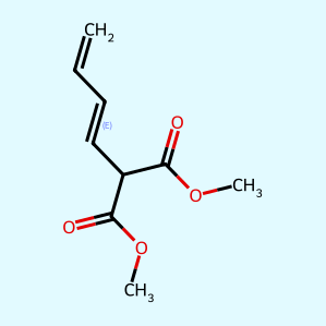 C=C/C=C/C(C(=O)OC)C(=O)OC